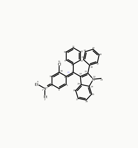 CC[N+](CC)=C1C=C/C(=C(/c2ccccc2)c2c(-c3ccccc3)n(C)c3ccccc23)C(Cl)=C1